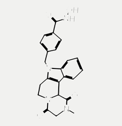 CN1CC(=O)N2CCc3c(c4ccccc4n3Cc3ccc(C(=O)NO)cc3)C2C1=O